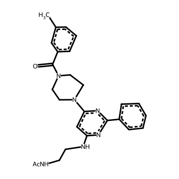 CC(=O)NCCNc1cc(N2CCN(C(=O)c3cccc(C)c3)CC2)nc(-c2ccccc2)n1